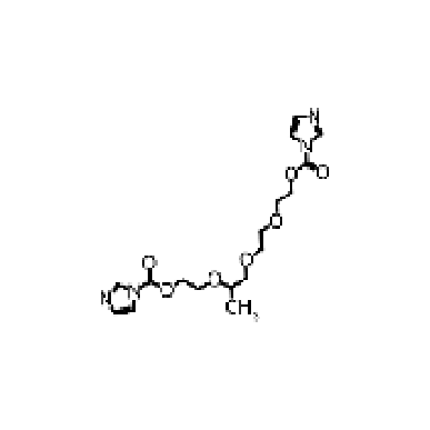 CC(COCCOCCOC(=O)n1ccnc1)OCCOC(=O)n1ccnc1